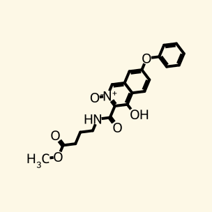 COC(=O)CCCNC(=O)c1c(O)c2ccc(Oc3ccccc3)cc2c[n+]1[O-]